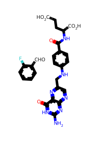 Nc1nc2ncc(CNc3ccc(C(=O)NC(CCC(=O)O)C(=O)O)cc3)nc2c(=O)[nH]1.O=Cc1ccccc1F